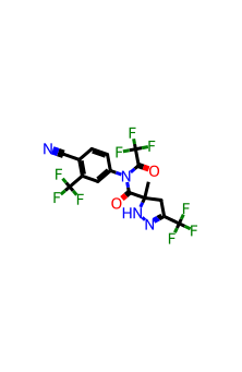 CC1(C(=O)N(C(=O)C(F)(F)F)c2ccc(C#N)c(C(F)(F)F)c2)CC(C(F)(F)F)=NN1